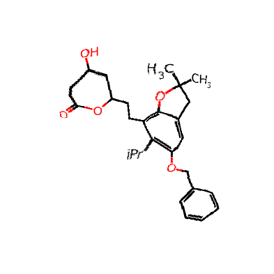 CC(C)c1c(OCc2ccccc2)cc2c(c1CCC1CC(O)CC(=O)O1)OC(C)(C)C2